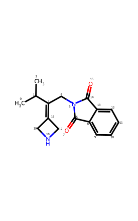 CC(C)C(CN1C(=O)c2ccccc2C1=O)=C1CNC1